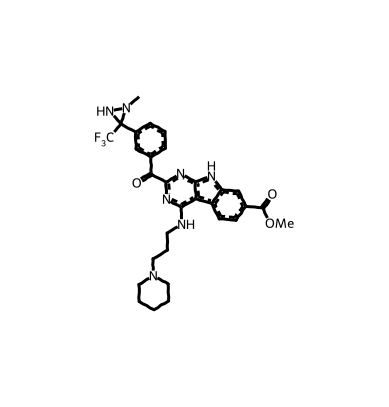 COC(=O)c1ccc2c(c1)[nH]c1nc(C(=O)c3cccc(C4(C(F)(F)F)NN4C)c3)nc(NCCCN3CCCCC3)c12